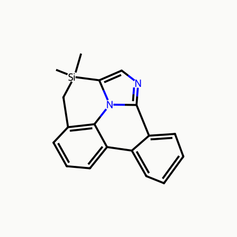 C[Si]1(C)Cc2cccc3c4ccccc4c4ncc1n4c23